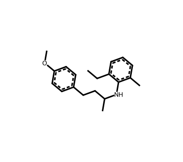 CCc1cccc(C)c1NC(C)CCc1ccc(OC)cc1